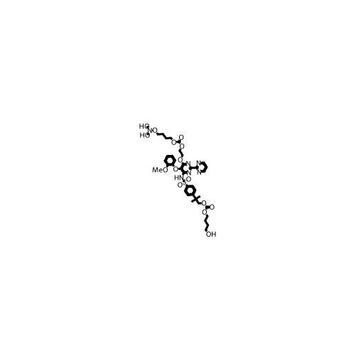 COc1ccccc1Oc1c(NS(=O)(=O)c2ccc(C(C)(C)COC(=O)OCCCCO)cc2)nc(-c2ncccn2)nc1OCCOC(=O)OCCCCON(O)O